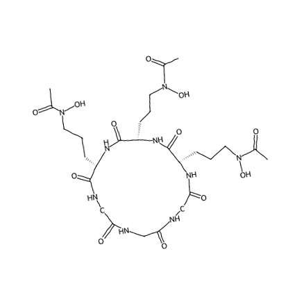 CC(=O)N(O)CCC[C@@H]1NC(=O)CNC(=O)CNC(=O)CNC(=O)[C@H](CCCN(O)C(C)=O)NC(=O)[C@H](CCCN(O)C(C)=O)NC1=O